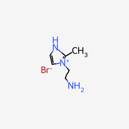 Cc1[nH]cc[n+]1CCN.[Br-]